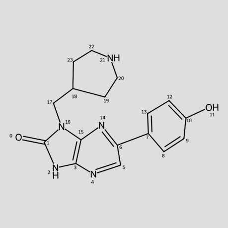 O=c1[nH]c2ncc(-c3ccc(O)cc3)nc2n1CC1CCNCC1